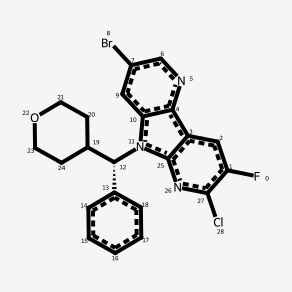 Fc1cc2c3ncc(Br)cc3n([C@H](c3ccccc3)C3CCOCC3)c2nc1Cl